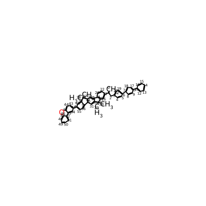 C=C(Cc1ccc(-c2ccc(-c3ccccc3)cc2)cc1)c1ccc2c(c1)C(C)(C)c1cc3c(cc1-2)C(C)(C)c1cc(-c2ccc4oc5ccccc5c4c2)ccc1-3